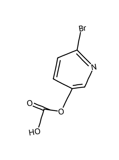 O=C(O)Oc1ccc(Br)nc1